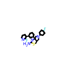 NC1=NC2(c3cccc(-c4cccnc4F)c3)CN(c3ccc(F)cc3)CC2CS1